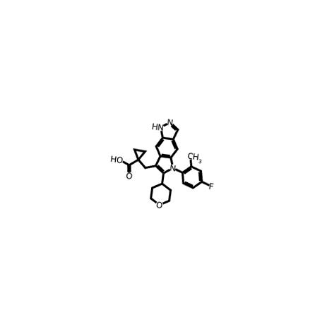 Cc1cc(F)ccc1-n1c(C2CCOCC2)c(CC2(C(=O)O)CC2)c2cc3[nH]ncc3cc21